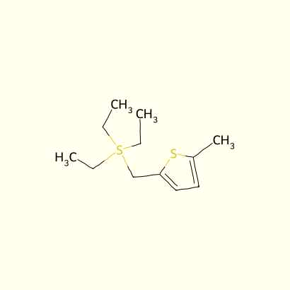 CCS(CC)(CC)Cc1ccc(C)s1